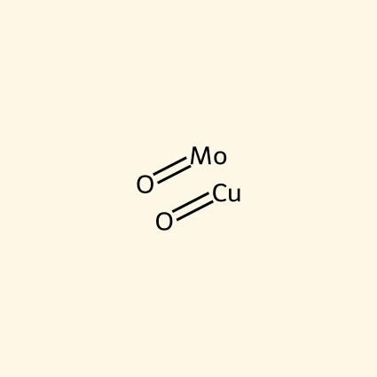 [O]=[Cu].[O]=[Mo]